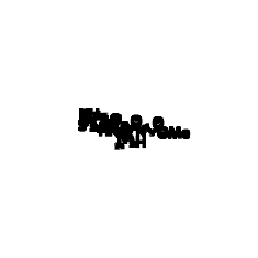 COC(=O)CCNC(=O)C1SC(NC(=O)c2ccc(C(N)=S)cc2)N(C)C1C